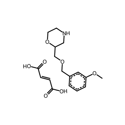 COc1cccc(COCC2CNCCO2)c1.O=C(O)C=CC(=O)O